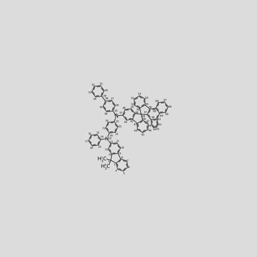 CC1(C)c2ccccc2-c2ccc(N(c3ccccc3)c3ccc(N(c4ccc(-c5ccccc5)cc4)c4ccc5c(c4)-c4ccccc4C54c5ccccc5-c5c4c4ccccc4c4ccccc54)cc3)cc21